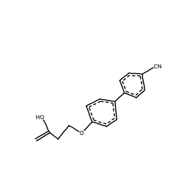 C=C(O)CCOc1ccc(-c2ccc(C#N)cc2)cc1